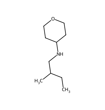 CCC(C)CNC1CCOCC1